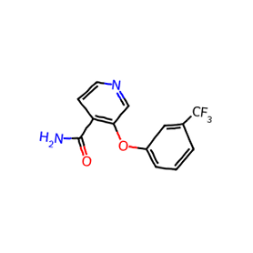 NC(=O)c1ccncc1Oc1cccc(C(F)(F)F)c1